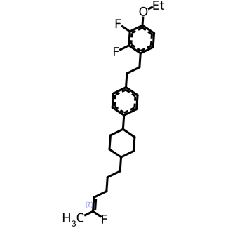 CCOc1ccc(CCc2ccc(C3CCC(CCC/C=C(/C)F)CC3)cc2)c(F)c1F